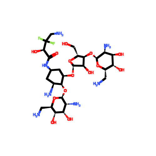 NC[C@@H]1O[C@H](O[C@H]2[C@@H](O)[C@H](O[C@@H]3C[C@H](NC(=O)[C@@H](O)C(F)(F)CN)C[C@H](N)[C@H]3O[C@H]3O[C@H](CN)[C@@H](O)[C@@H](O)[C@H]3N)O[C@@H]2CO)[C@H](N)[C@@H](O)[C@@H]1O